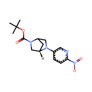 CC(C)(C)OC(=O)N1C[C@@H]2CC1CN2c1ccc([N+](=O)[O-])nc1